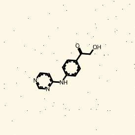 O=C(CO)c1ccc(Nc2ccncn2)cc1